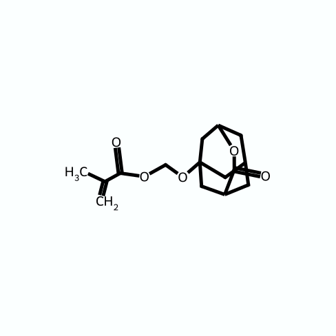 C=C(C)C(=O)OCOC12CC3CC(C1)OC(=O)C(C3)C2